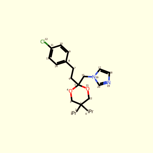 CC(C)C1(C(C)C)COC(CCc2ccc(Cl)cc2)(Cn2ccnc2)OC1